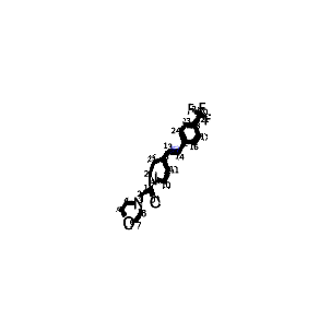 O=C(CN1CCOCC1)N1CCC(/C=C/c2ccc(C(F)(F)F)cc2)CC1